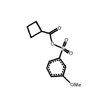 COc1cccc(S(=O)(=O)OC(=O)C2CCC2)c1